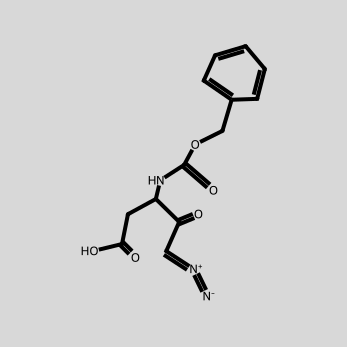 [N-]=[N+]=CC(=O)C(CC(=O)O)NC(=O)OCc1ccccc1